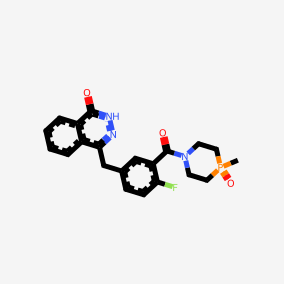 CP1(=O)CCN(C(=O)c2cc(Cc3n[nH]c(=O)c4ccccc34)ccc2F)CC1